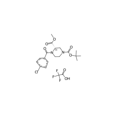 COC(=O)[C@@H]1CN(C(=O)OC(C)(C)C)CCN1C(=O)c1ccc(Cl)cc1.O=C(O)C(F)(F)F